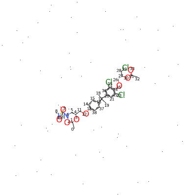 CC(=O)O[C@@H](CNS(C)(=O)=O)COc1ccc(C(C)(C)c2cc(Cl)c(OC[C@H](CCl)OC(C)=O)c(Cl)c2)cc1